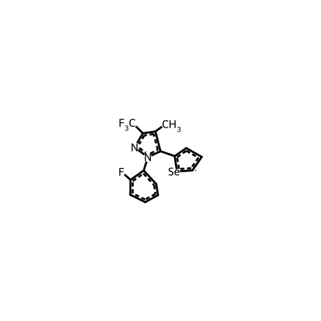 Cc1c(C(F)(F)F)nn(-c2ccccc2F)c1-c1cc[c][se]1